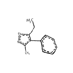 CCc1onc(C)c1-c1ccccc1